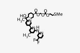 CSCCOC(=O)OCOC(=O)[C@H]1CC[C@H]([C@@](C)(O)c2ccc(-c3cc(C)cc(Nc4cc(C(F)F)ccn4)n3)cn2)CC1